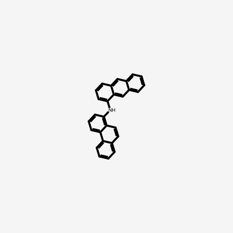 c1ccc2cc3c(Nc4cccc5c4ccc4ccccc45)cccc3cc2c1